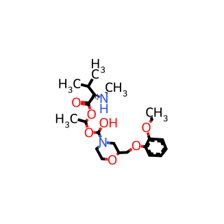 CCOc1ccccc1OCC1CN(C(O)OC(C)OC(=O)[C@H](NC)C(C)C)CCO1